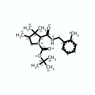 Cc1ccccc1CNC(=O)C1N(C(=O)OC(C)(C)C)CC(C)C1(C)C